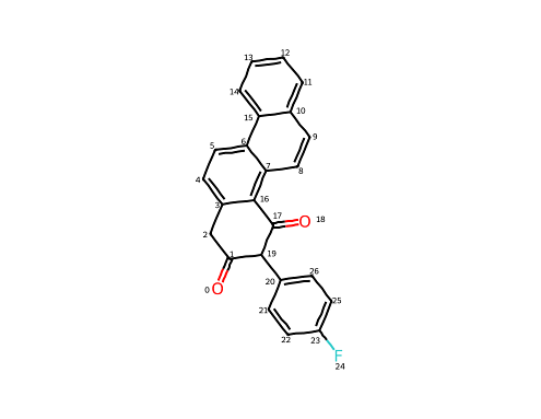 O=C1Cc2ccc3c(ccc4ccccc43)c2C(=O)C1c1ccc(F)cc1